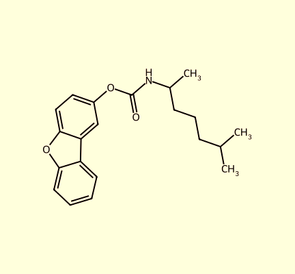 CC(C)CCCC(C)NC(=O)Oc1ccc2oc3ccccc3c2c1